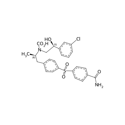 C[C@H](Cc1ccc(S(=O)(=O)c2ccc(C(N)=O)cc2)cc1)N(C[C@@H](O)c1cccc(Cl)c1)C(=O)O